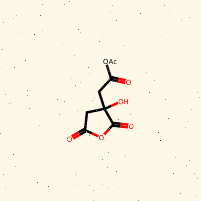 CC(=O)OC(=O)CC1(O)CC(=O)OC1=O